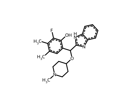 Cc1cc(C(OC2CCN(C)CC2)c2nc3ccccc3[nH]2)c(O)c(F)c1C